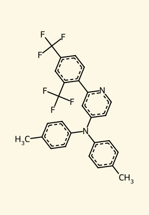 Cc1ccc(N(c2ccc(C)cc2)c2ccnc(-c3ccc(C(F)(F)F)cc3C(F)(F)F)c2)cc1